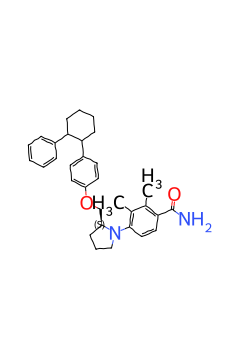 Cc1c(C(N)=O)ccc(N2CCC[C@H]2COc2ccc(C3CCCCC3c3ccccc3)cc2)c1C